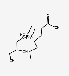 CC(=O)O.CC(=O)O.CCCCCCC(=O)O.OCC(O)CO